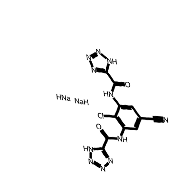 N#Cc1cc(NC(=O)c2nnn[nH]2)c(Cl)c(NC(=O)c2nnn[nH]2)c1.[NaH].[NaH]